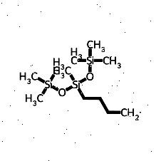 [CH2]CCC[Si](C)(O[Si](C)(C)C)O[Si](C)(C)C